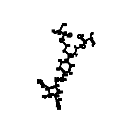 C=C(C)C(=O)OCCN(CCOC(=O)C(=C)C)c1ccc(N=Nc2sc(C#N)c(C)c2C#N)cc1